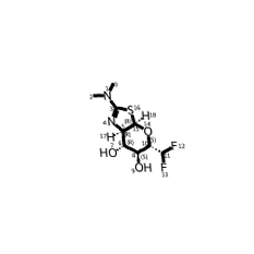 CN(C)C1=N[C@@H]2[C@@H](O)[C@H](O)[C@@H](C(F)F)O[C@@H]2S1